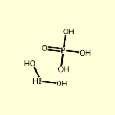 O=P(O)(O)O.OBO